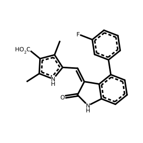 Cc1[nH]c(/C=C2\C(=O)Nc3cccc(-c4cccc(F)c4)c32)c(C)c1C(=O)O